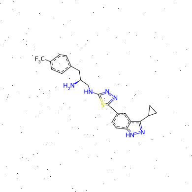 N[C@H](CNc1nnc(-c2ccc3[nH]nc(C4CC4)c3c2)s1)Cc1ccc(C(F)(F)F)cc1